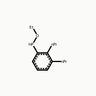 CCCc1cccc(POCC)c1CCC